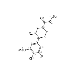 COc1cc(N2CCN(C(=O)OC(C)(C)C)C[C@@H]2C)cc(F)c1Cl